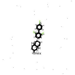 CCCCCCC1CC[C@@H]2C[C@H](c3cc(F)c(-c4ccc(F)cc4)c(F)c3)CC[C@@H]2C1